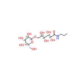 CCCNC(=O)[C@H](O)[C@@H](O)[C@H](O)[C@H](O)CO[C@H]1O[C@H](CO)[C@H](O)[C@H](O)[C@H]1O